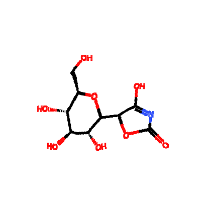 O=C1N=C(O)C(C2O[C@H](CO)[C@@H](O)[C@H](O)[C@H]2O)O1